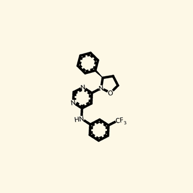 FC(F)(F)c1cccc(Nc2cc(N3OCC[C@@H]3c3ccccc3)ncn2)c1